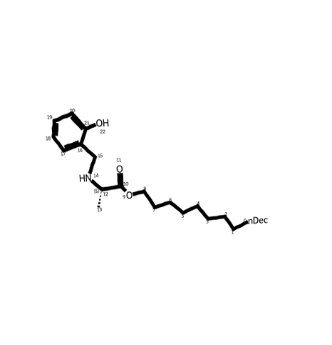 CCCCCCCCCCCCCCCCCCOC(=O)[C@H](C)NCc1ccccc1O